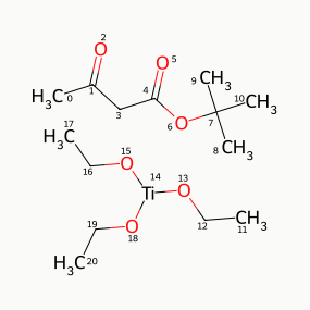 CC(=O)CC(=O)OC(C)(C)C.CC[O][Ti]([O]CC)[O]CC